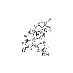 C#CC(F)(F)[C@]1(O)CC[C@H]2[C@@H]3CCC4=CC(=O)CCC4=C3[C@@H](c3ccc(O)cc3)C[C@@]21C